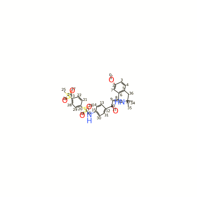 COc1ccc2c(c1)C(=CC(=O)c1ccc(NS(=O)(=O)c3ccc(S(C)(=O)=O)cc3)cc1)NC(C)(C)C2